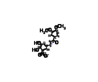 COc1ccc(C(=O)/C=C/c2cc(O)c(O)c([N+](=O)[O-])c2)cc1OC